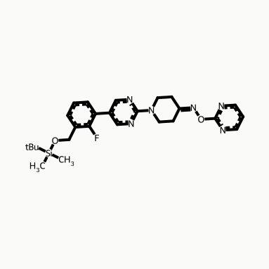 CC(C)(C)[Si](C)(C)OCc1cccc(-c2cnc(N3CCC(=NOc4ncccn4)CC3)nc2)c1F